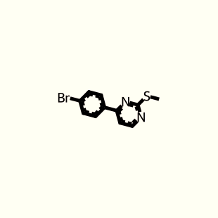 CSc1nccc(-c2ccc(Br)cc2)n1